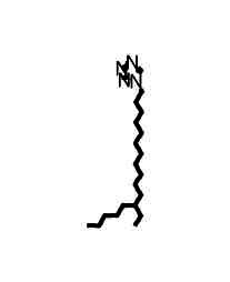 CCCCCC(CC)CCCCCCCCCCCn1cnnn1